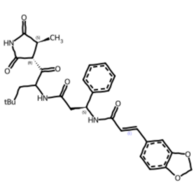 C[C@@H]1C(=O)NC(=O)[C@H]1C(=O)C(CC(C)(C)C)NC(=O)C[C@H](NC(=O)/C=C/c1ccc2c(c1)OCO2)c1ccccc1